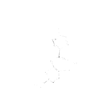 O=C(O)c1ccc(C(=O)Nc2cc(C(=O)O)ccc2O)cc1.[NaH]